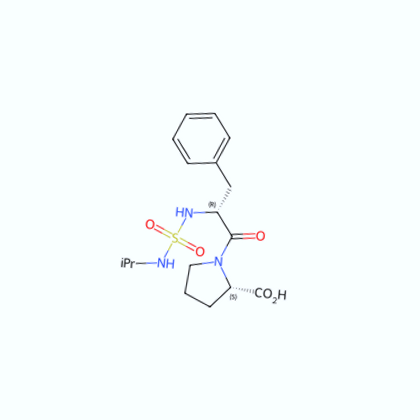 CC(C)NS(=O)(=O)N[C@H](Cc1ccccc1)C(=O)N1CCC[C@H]1C(=O)O